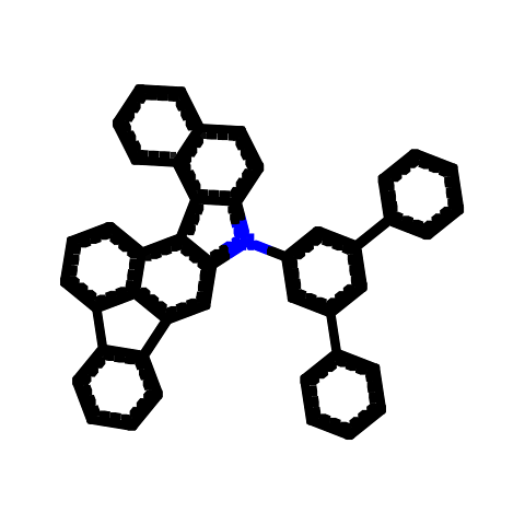 c1ccc(-c2cc(-c3ccccc3)cc(-n3c4ccc5ccccc5c4c4c5cccc6c5c(cc43)-c3ccccc3-6)c2)cc1